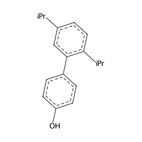 CC(C)c1ccc(C(C)C)c(-c2ccc(O)cc2)c1